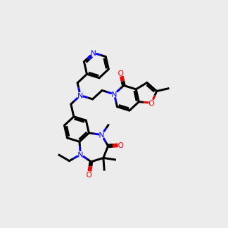 CCN1C(=O)C(C)(C)C(=O)N(C)c2cc(CN(CCn3ccc4oc(C)cc4c3=O)Cc3cccnc3)ccc21